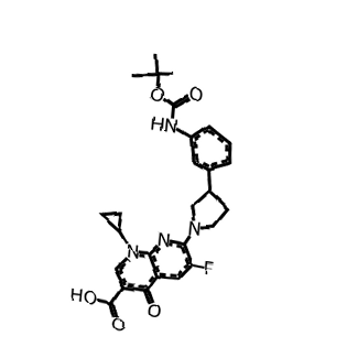 CC(C)(C)OC(=O)Nc1cccc(C2CCN(c3nc4c(cc3F)c(=O)c(C(=O)O)cn4C3CC3)C2)c1